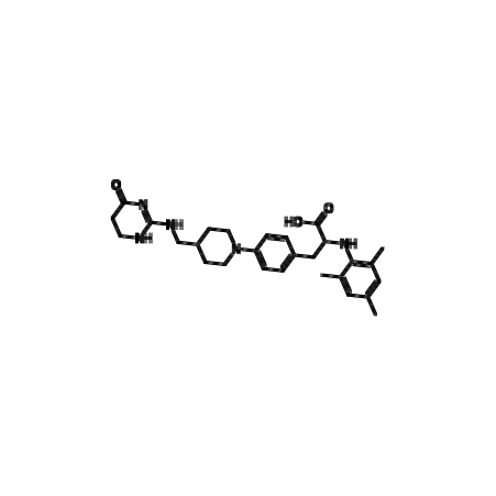 Cc1cc(C)c(NC(Cc2ccc(N3CCC(CNC4=NC(=O)CCN4)CC3)cc2)C(=O)O)c(C)c1